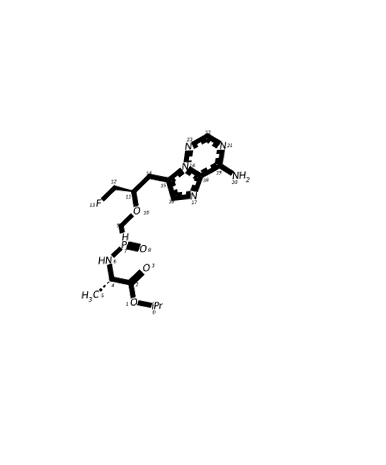 CC(C)OC(=O)[C@H](C)N[PH](=O)CO[C@@H](CF)Cc1cnc2c(N)ncnn12